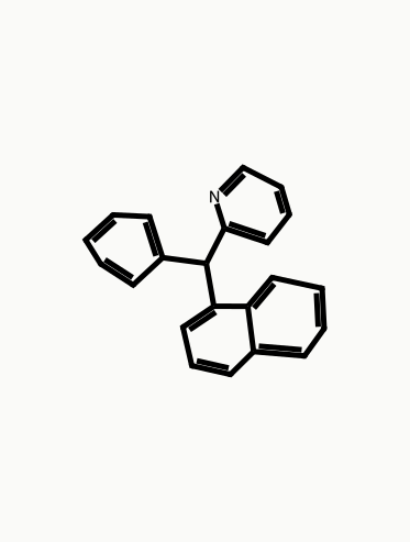 c1ccc(C(c2ccccn2)c2cccc3ccccc23)cc1